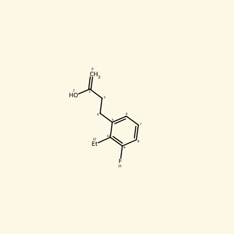 C=C(O)CCc1cccc(F)c1CC